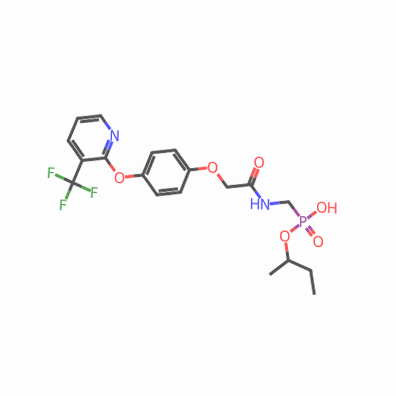 CCC(C)OP(=O)(O)CNC(=O)COc1ccc(Oc2ncccc2C(F)(F)F)cc1